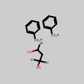 CCC(O)(CC)CC(O)C(C)C.O=C(O)c1ccccc1.O=C(O)c1ccccc1